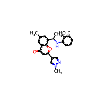 Cc1cc(C(C)Nc2ccccc2C(=O)O)c2oc(-c3cnn(C)c3)cc(=O)c2c1